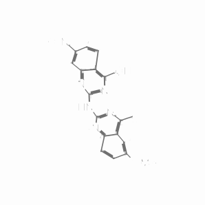 COc1ccc2nc(Nc3nc(O)c4ccc([N+](=O)[O-])cc4n3)nc(C)c2c1